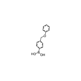 OB(O)c1ccc(COc2ccccc2)cc1